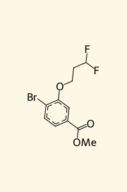 COC(=O)c1ccc(Br)c(OCCC(F)F)c1